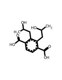 CC(O)Cc1c(C(=O)O)ccc(C(=O)O)c1CC(C)O